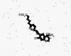 CCOC(=O)CCCCc1ccc(C#Cc2cc3c(cc2CC)OCCC3(C)C)nn1